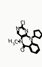 CN1C(=O)c2ccccc2N(C2CCCC2)c2nc(Cl)ncc21